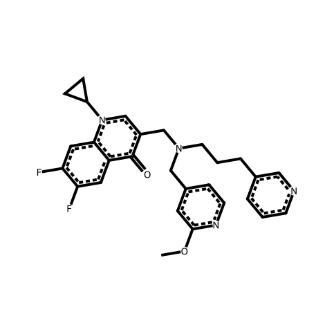 COc1cc(CN(CCCc2cccnc2)Cc2cn(C3CC3)c3cc(F)c(F)cc3c2=O)ccn1